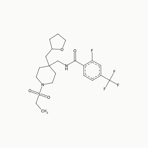 CCS(=O)(=O)N1CCC(CNC(=O)c2ccc(C(F)(F)F)cc2F)(CC2CCCO2)CC1